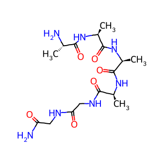 C[C@H](N)C(=O)N[C@@H](C)C(=O)N[C@@H](C)C(=O)N[C@@H](C)C(=O)NCC(=O)NCC(N)=O